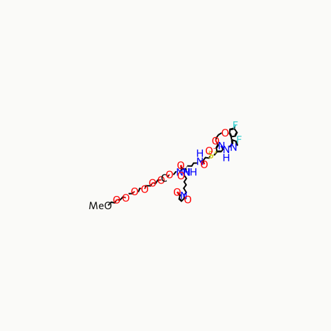 COCCOCCOCCOCCOCCOCCOCCOCCNC(=O)[C@H](CCCCNC(=O)CC[S+]([O-])Cc1cc2nc(c1)OCCCOc1cc(F)ccc1-c1cc(ncc1F)N2)NC(=O)CCCCCN1C(=O)C=CC1=O